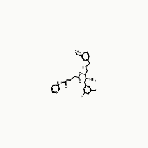 CCc1cccc(CNCC(OC(=O)CCCC(=O)Nc2cccnc2)C(N)Cc2cc(F)cc(F)c2)c1